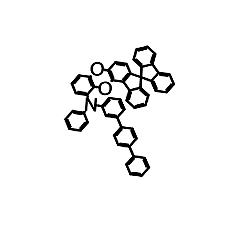 c1ccc(-c2ccc(-c3cccc(N(c4ccccc4)c4cccc5c4Oc4c(ccc6c4-c4ccccc4C64c6ccccc6-c6ccccc64)O5)c3)cc2)cc1